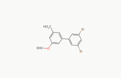 O=COc1cc(C(=O)O)cc(-c2cc(Br)cc(Br)c2)c1